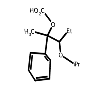 CCC(OC(C)C)C(C)(OC(=O)O)c1ccccc1